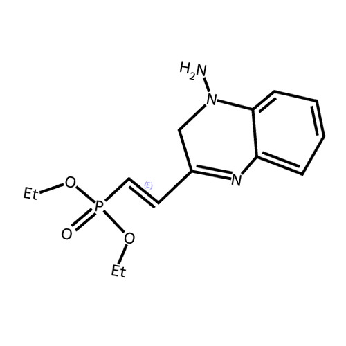 CCOP(=O)(/C=C/C1=Nc2ccccc2N(N)C1)OCC